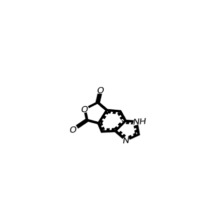 O=C1OC(=O)c2cc3[nH]cnc3cc21